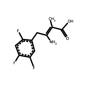 C/C(C(=O)O)=C(/N)Cc1cc(F)c(F)cc1F